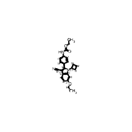 CCOC(=O)Nc1ccc(-c2c(C#N)c3ccc(OCC)cc3n2C2CCC2)cc1